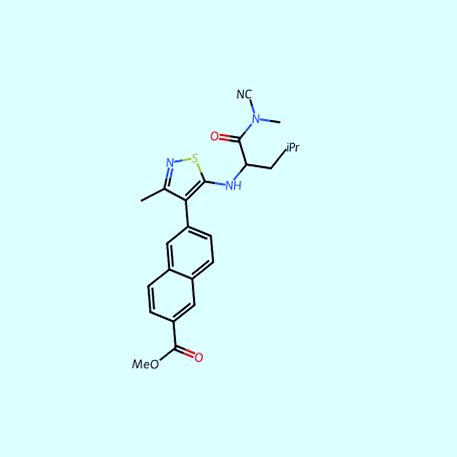 COC(=O)c1ccc2cc(-c3c(C)nsc3NC(CC(C)C)C(=O)N(C)C#N)ccc2c1